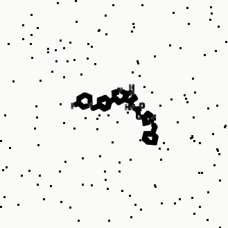 O=C(Nc1c[nH]c2ncc(-c3ccc(CN4CCCC(F)C4)cc3)cc12)Oc1cnn(Cc2ccccc2)c1